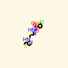 CS(=O)(=O)ON(C(=O)Nc1ncc(CCNc2nccc3sccc23)s1)c1cccc(Cl)c1